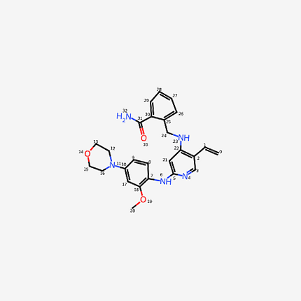 C=Cc1cnc(Nc2ccc(N3CCOCC3)cc2OC)cc1NCc1ccccc1C(N)=O